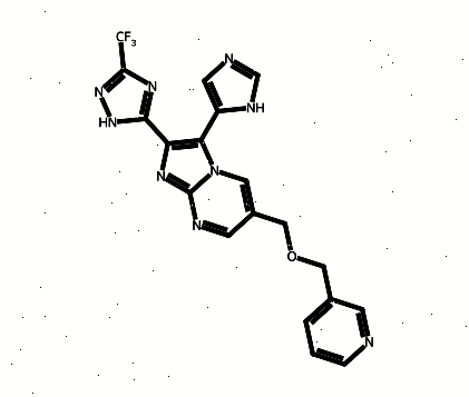 FC(F)(F)c1n[nH]c(-c2nc3ncc(COCc4cccnc4)cn3c2-c2cnc[nH]2)n1